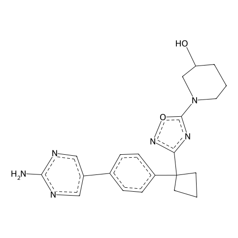 Nc1ncc(-c2ccc(C3(c4noc(N5CCCC(O)C5)n4)CCC3)cc2)cn1